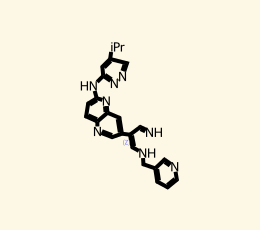 CC(C)c1cnnc(Nc2ccc3ncc(/C(C=N)=C/NCc4cccnc4)cc3n2)c1